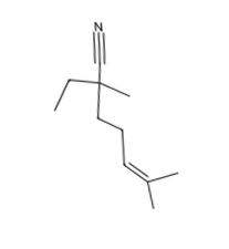 CCC(C)(C#N)CCC=C(C)C